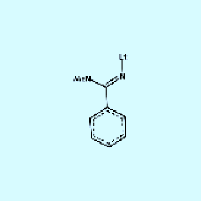 CC/N=C(\NC)c1ccccc1